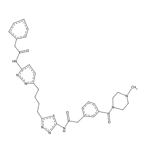 CN1CCN(C(=O)c2cccc(CC(=O)Nc3nnc(CCCCc4ccc(NC(=O)Cc5ccccc5)nn4)s3)c2)CC1